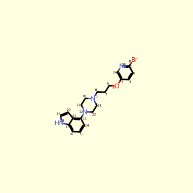 Brc1ccc(OCCCN2CCN(c3cccc4[nH]ccc34)CC2)cn1